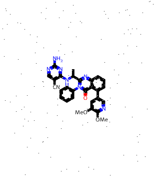 COc1cc(-c2cccc3nc(C(C)Nc4nc(N)ncc4C#N)n(-c4ccccc4)c(=O)c23)cnc1OC